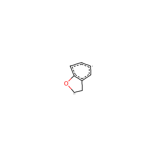 [C]1Cc2c[c]ccc2O1